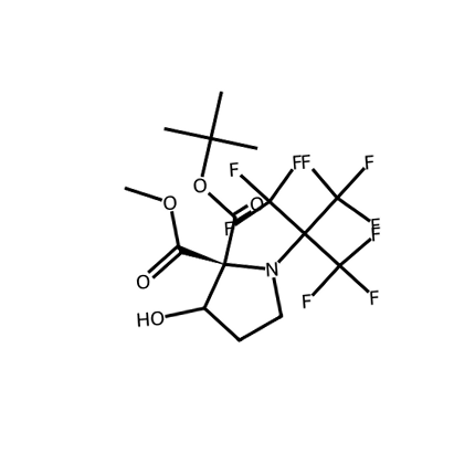 COC(=O)[C@]1(C(=O)OC(C)(C)C)C(O)CCN1C(C(F)(F)F)(C(F)(F)F)C(F)(F)F